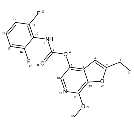 CCc1cc2c(OC(=O)Nc3c(F)cccc3F)cnc(OC)c2o1